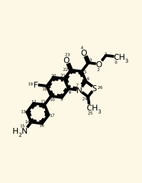 CCOC(=O)c1c2n(c3cc(-c4ccc(N)cc4)c(F)cc3c1=O)C(C)S2